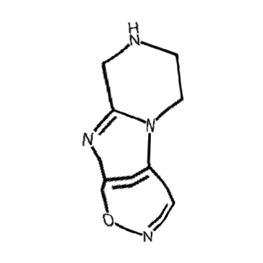 c1noc2nc3n(c12)CCNC3